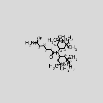 CC1(C)CC(N(C(=O)CCCCC(N)=O)C2CC(C)(C)NC(C)(C)C2)CC(C)(C)N1